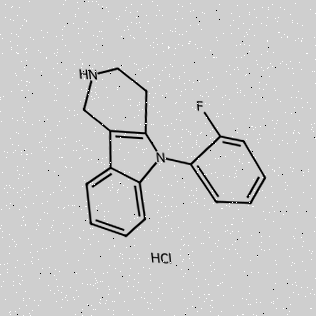 Cl.Fc1ccccc1-n1c2c(c3ccccc31)CNCC2